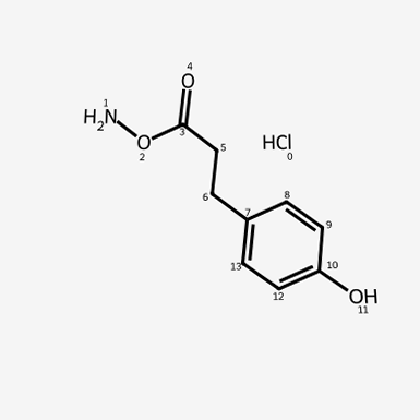 Cl.NOC(=O)CCc1ccc(O)cc1